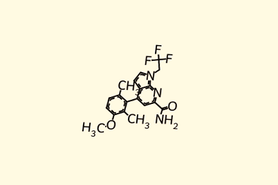 COc1ccc(C)c(-c2cc(C(N)=O)nc3c2ccn3CC(F)(F)F)c1C